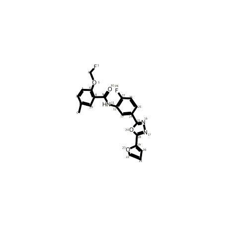 Cc1ccc(OCF)c(C(=O)Nc2cc(-c3nnc(-c4ccco4)o3)ccc2F)c1